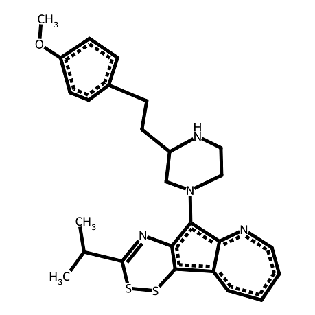 COc1ccc(CCC2CN(c3c4nccccc-4c4c3N=C(C(C)C)SS4)CCN2)cc1